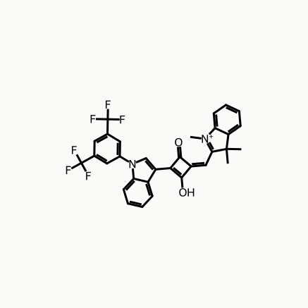 C[N+]1=C(/C=C2\C(=O)C(c3cn(-c4cc(C(F)(F)F)cc(C(F)(F)F)c4)c4ccccc34)=C2O)C(C)(C)c2ccccc21